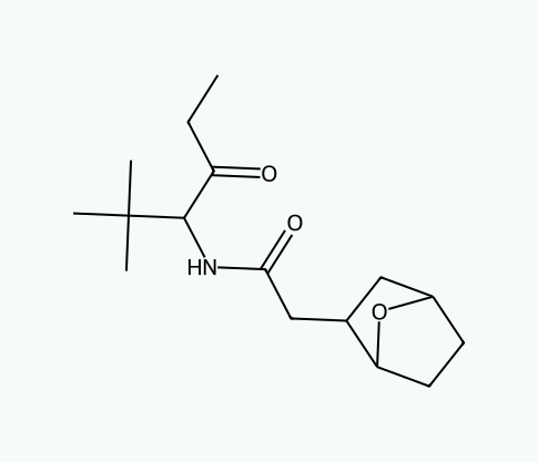 CCC(=O)C(NC(=O)CC1CC2CCC1O2)C(C)(C)C